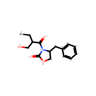 CC(C)CC(CO)C(=O)N1C(=O)OCC1Cc1ccccc1